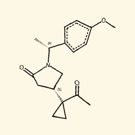 COc1ccc([C@@H](C)N2C[C@H](C3(C(C)=O)CC3)CC2=O)cc1